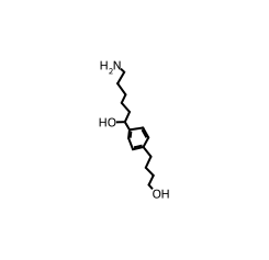 NCCCCCC(O)c1ccc(CCCCO)cc1